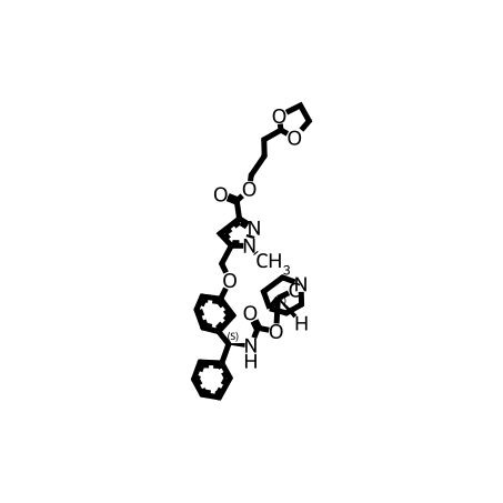 Cn1nc(C(=O)OCCCC2OCCO2)cc1COc1cccc([C@@H](NC(=O)O[C@H]2CN3CCC2CC3)c2ccccc2)c1